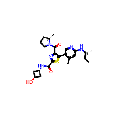 CC[C@@H](C)Nc1cc(C)c(-c2sc(C(=O)N[C@H]3C[C@H](O)C3)nc2C(=O)N2CCC[C@@H]2C)cn1